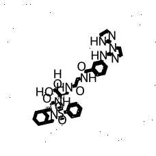 O=C(CNC(=O)c1cccc(NC2=NCCN2C2=NCCN2)c1)NC[C@@H](NC(=O)[C@H]1C2CCCC(C2)CN1S(=O)(=O)c1ccccc1)C(O)O